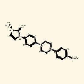 COc1ccc(N2CCN(c3ccc(-n4ccn(C)c4=O)cc3)CC2)cc1